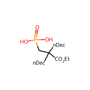 CCCCCCCCCCC(CCCCCCCCCC)(CP(=O)(O)O)C(=O)OCC